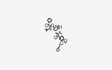 COCCCOc1cc(C(=O)N(C[C@@H]2CNC[C@H]2CN(C(=O)[C@@H](OC)c2ccccc2)C2CC2)C(C)C)ccc1OC